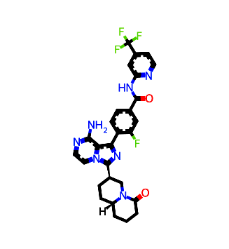 Nc1nccn2c([C@@H]3CC[C@H]4CCCC(=O)N4C3)nc(-c3ccc(C(=O)Nc4cc(C(F)(F)F)ccn4)cc3F)c12